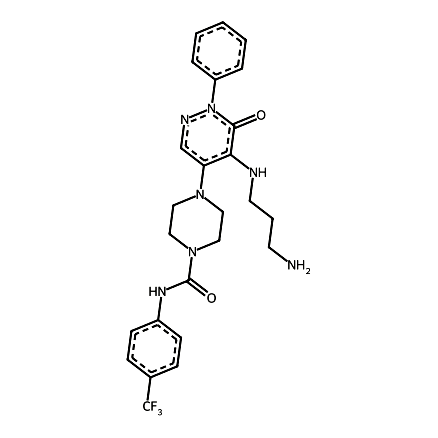 NCCCNc1c(N2CCN(C(=O)Nc3ccc(C(F)(F)F)cc3)CC2)cnn(-c2ccccc2)c1=O